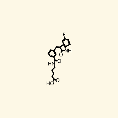 O=C(O)CCCCNC(=O)c1cccc(/C=C2\C(=O)Nc3ccc(F)cc32)c1